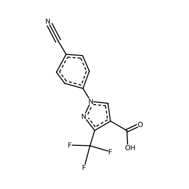 N#Cc1ccc(-n2cc(C(=O)O)c(C(F)(F)F)n2)cc1